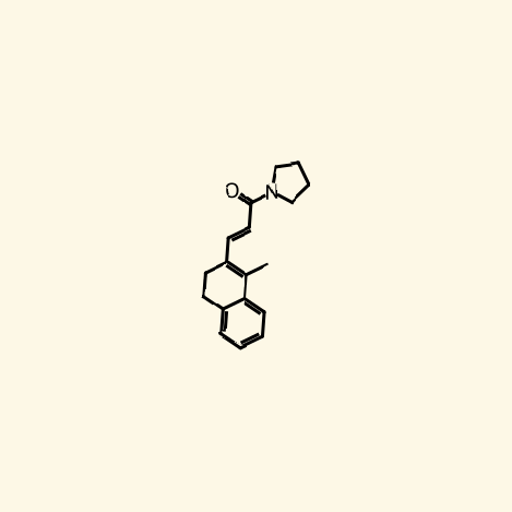 CC1=C(C=CC(=O)N2CCCC2)CCc2ccccc21